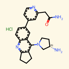 Cl.NC(=O)Cc1cc(-c2ccc3nc4c(c(N5CC[C@H](N)C5)c3c2)CCC4)ccn1